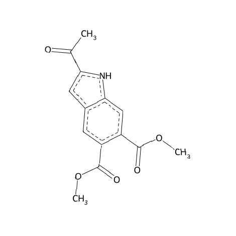 COC(=O)c1cc2cc(C(C)=O)[nH]c2cc1C(=O)OC